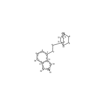 c1cc(CCC2CN3CCC2CC3)c2cnsc2c1